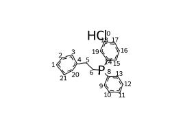 Cl.c1ccc(CCP(c2ccccc2)c2ccccc2)cc1